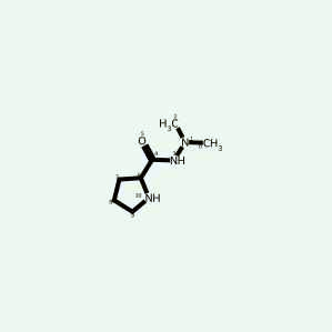 CN(C)NC(=O)C1CCCN1